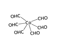 O=[CH][Co]([CH]=O)([CH]=O)([CH]=O)([CH]=O)[CH]=O